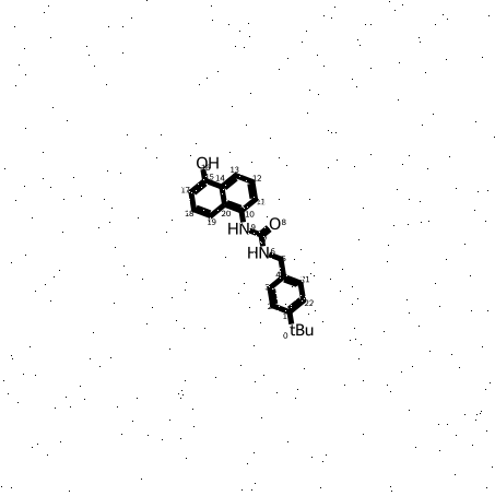 CC(C)(C)c1ccc(CNC(=O)Nc2cccc3c(O)cccc23)cc1